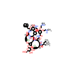 CC[C@H](CC(C)C)C(=O)N[C@H]1C(=O)C[C@@H](CC(=O)NC(=O)c2cc(OCCNC)c(OCCNC)c(OCCNC)c2)C(=O)N[C@H]2C(=O)C[C@H]3C(=O)N[C@H](C(=O)N[C@H](C(=O)CC4C5CC6CC(C5)CC4C6)c4cc(O)cc(O)c4-c4cc3ccc4O)[C@H](O)c3ccc(c(Cl)c3)Oc3cc2cc(c3O[C@@H]2O[C@H](CO)[C@@H](O)[C@H](O)[C@H]2O)Oc2ccc(cc2Cl)[C@H]1O